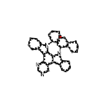 c1ccc(-n2c3ccccc3c3c4ncncc4c4c5ccccc5n(-c5cncc6ccccc56)c4c32)cc1